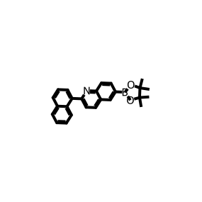 CC1(C)OB(c2ccc3nc(-c4cccc5ccccc45)ccc3c2)OC1(C)C